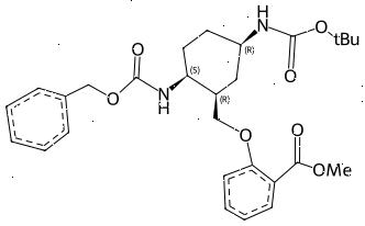 COC(=O)c1ccccc1OC[C@@H]1C[C@H](NC(=O)OC(C)(C)C)CC[C@@H]1NC(=O)OCc1ccccc1